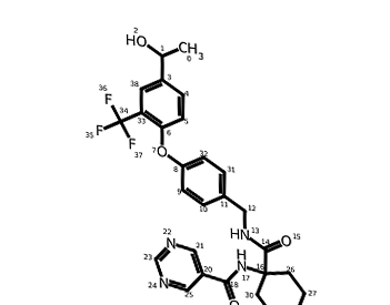 CC(O)c1ccc(Oc2ccc(CNC(=O)C3(NC(=O)c4cncnc4)CCOCC3)cc2)c(C(F)(F)F)c1